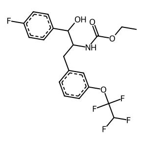 CCOC(=O)NC(Cc1cccc(OC(F)(F)C(F)F)c1)C(O)c1ccc(F)cc1